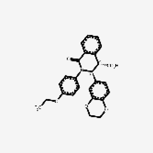 O=C(O)[C@H]1c2ccccc2C(=O)N(c2ccc(OCC(F)(F)F)cc2)[C@@H]1c1ccc2c(c1)OCCO2